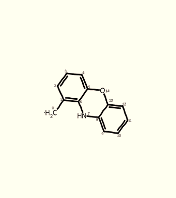 [CH2]c1cccc2c1Nc1ccccc1O2